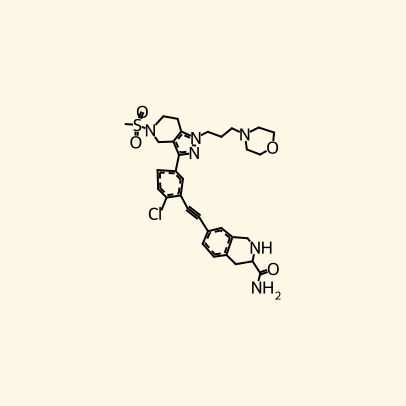 CS(=O)(=O)N1CCc2c(c(-c3ccc(Cl)c(C#Cc4ccc5c(c4)CNC(C(N)=O)C5)c3)nn2CCCN2CCOCC2)C1